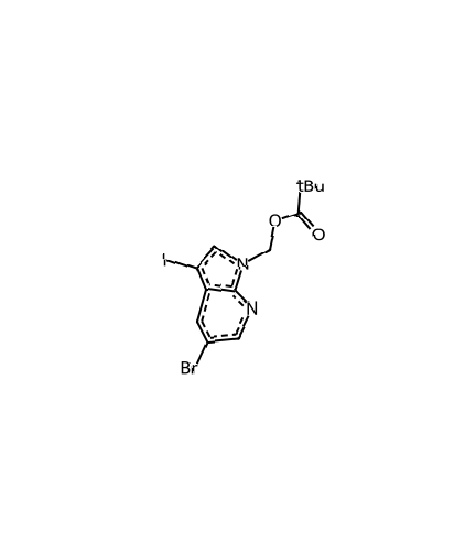 CC(C)(C)C(=O)OCn1cc(I)c2cc(Br)cnc21